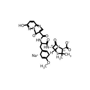 COC1=CCC(CC(NC(=O)c2cnc3ccc(O)nn3c2=O)C(=O)N[C@@H]2C(=O)N3[C@@H]2SC(C)(C)[C@@H]3C(=O)[O-])=CC1.[Na+]